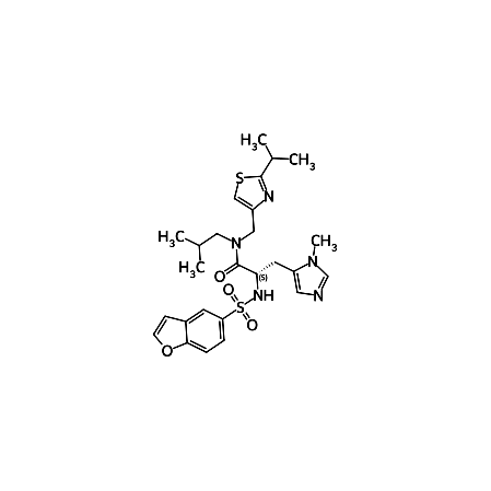 CC(C)CN(Cc1csc(C(C)C)n1)C(=O)[C@H](Cc1cncn1C)NS(=O)(=O)c1ccc2occc2c1